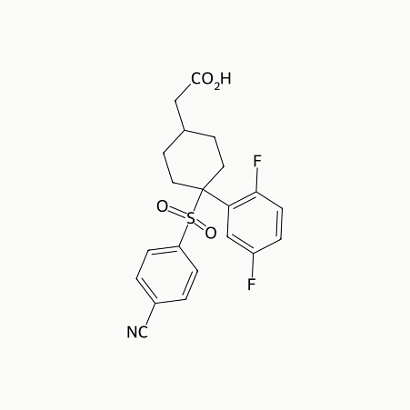 N#Cc1ccc(S(=O)(=O)C2(c3cc(F)ccc3F)CCC(CC(=O)O)CC2)cc1